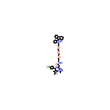 Cc1sc2c(c1C)C(c1ccc(Cl)cc1)=NC(CC(=O)NCCCOCCOCCOCCCNC(c1ccccc1)(c1ccccc1)c1ccccc1)c1nnc(C)n1-2